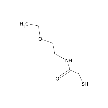 CCOCCNC(=O)CS